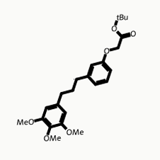 COc1cc(CC[CH]c2cccc(OCC(=O)OC(C)(C)C)c2)cc(OC)c1OC